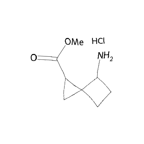 COC(=O)C1CC12CCC2N.Cl